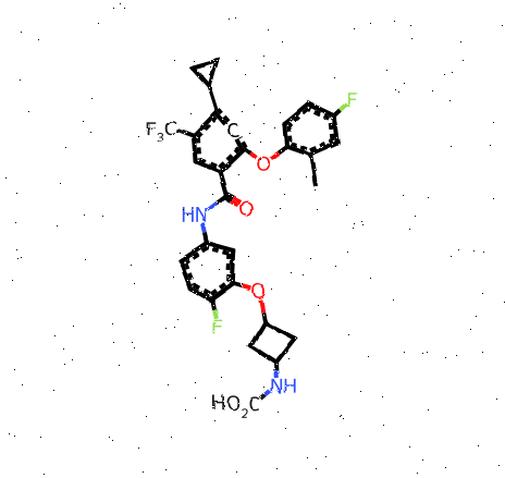 Cc1cc(F)ccc1Oc1cc(C2CC2)c(C(F)(F)F)cc1C(=O)Nc1ccc(F)c(OC2CC(NC(=O)O)C2)c1